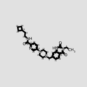 CCn1c(=O)[nH]c2cc(CN3CCN(c4ccc(C(=O)NCCC5CCC5)nc4)CC3)ccc2c1=O